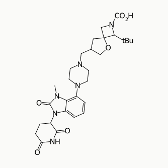 Cn1c(=O)n(C2CCC(=O)NC2=O)c2cccc(N3CCN(CC4COC5(C4)CN(C(=O)O)C5C(C)(C)C)CC3)c21